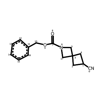 N#CC1CC2(C1)CN(C(=O)OCc1ccccc1)C2